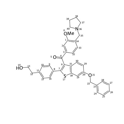 COc1cc(C(=O)c2c(-c3ccc(CCO)cc3)sc3cc(OCc4ccccc4)ccc23)ccc1CN1CCCC1